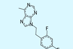 Cc1ncnc2c1ncn2CCc1ccc(F)cc1F